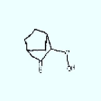 O=C1C2CCC(C2)C1OO